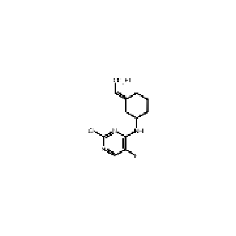 CCOC(=O)C=C1CCCC(Nc2nc(Cl)ncc2F)C1